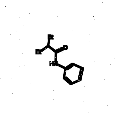 CCC(CC)C(=O)Nc1ccccc1